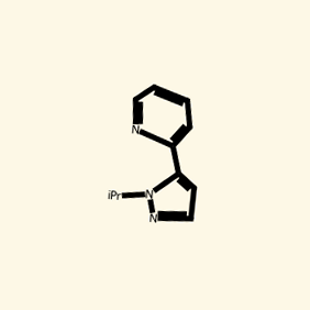 CC(C)n1nccc1-c1ccccn1